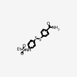 CCS(=O)(=O)Nc1ccc(SSc2ccc(C(N)=O)cc2)cc1